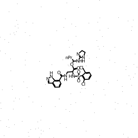 CCCC(NC1=NCCN1)OC(=O)C(CNC(=O)c1cccc2cn[nH]c12)NS(=O)(=O)c1c(Cl)cccc1Cl